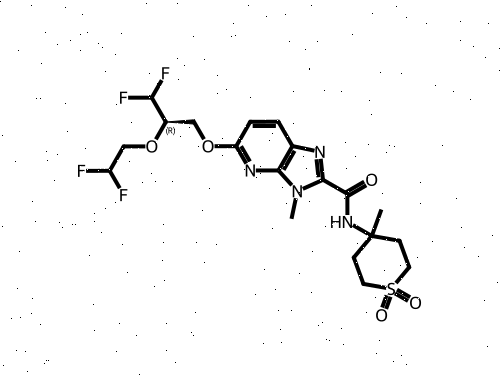 Cn1c(C(=O)NC2(C)CCS(=O)(=O)CC2)nc2ccc(OC[C@@H](OCC(F)F)C(F)F)nc21